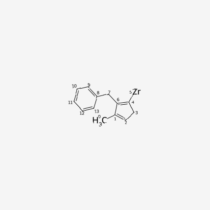 CC1=CC[C]([Zr])=C1Cc1ccccc1